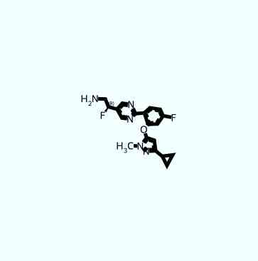 Cn1nc(C2CC2)cc1Oc1cc(F)ccc1-c1ncc([C@@H](F)CN)cn1